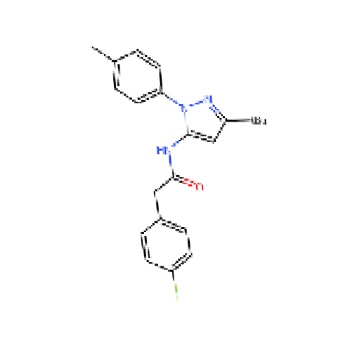 Cc1ccc(-n2nc(C(C)(C)C)cc2NC(=O)Cc2ccc(F)cc2)cc1